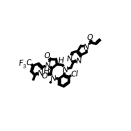 C=CC(=O)N1Cc2cnc(CN3C[C@H]4CC(=O)N(c5cc(C(F)(F)F)cc(C)n5)[C@@H]4C(=O)N(C)c4cccc(Cl)c43)nc2C1